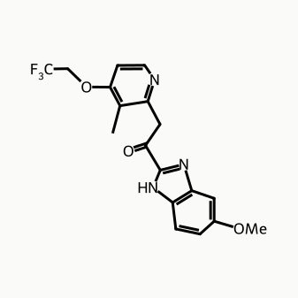 COc1ccc2[nH]c(C(=O)Cc3nccc(OCC(F)(F)F)c3C)nc2c1